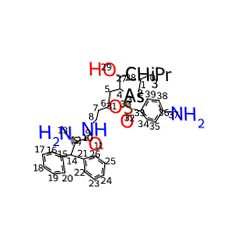 CC(C)CC[As](C(CCCCNC(=O)[C@@H](N)C(c1ccccc1)c1ccccc1)C(C)O)S(=O)(=O)c1ccc(N)cc1